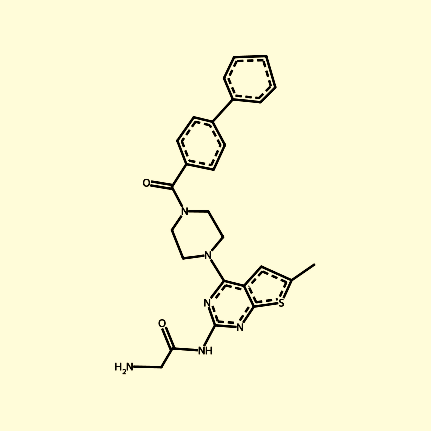 Cc1cc2c(N3CCN(C(=O)c4ccc(-c5ccccc5)cc4)CC3)nc(NC(=O)CN)nc2s1